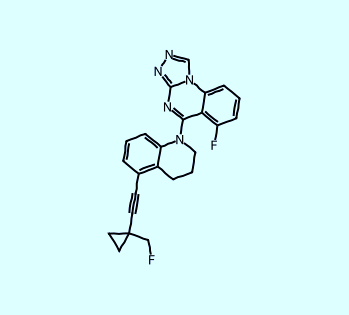 FCC1(C#Cc2cccc3c2CCCN3c2nc3nncn3c3cccc(F)c23)CC1